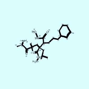 CC(C)C[C@](CC(C)(C)C(=O)[C@@H](C)N)(C(=O)NN)C(CCCC1CCCCC1)C(=O)NO